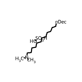 CCCCCCCCCCCCCCCCCCCCCCN(C)C.O=S(=O)(O)O